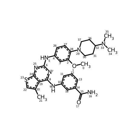 COc1cc(Nc2nc(Nc3cccc(C(N)=O)c3)c3c(C)csc3n2)ccc1N1CCC(N(C)C)CC1